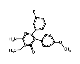 CCn1c(N)nc(-c2cccc(F)c2)c(-c2ccc(OC)nc2)c1=O